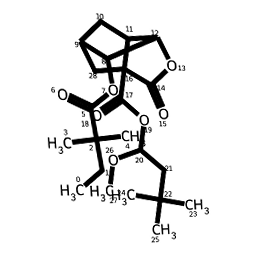 CCC(C)(C)C(=O)OC1C2CC3C1OC(=O)C3(C(=O)OC(CC(C)(C)C)OC)C2